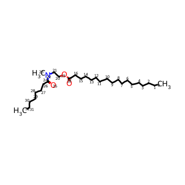 CCCCCCCCCCCCCCCCCC(=O)OCCN(C)C(=O)CCCCCCC